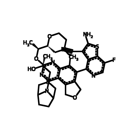 C[C@H](Oc1nc(N2C3CCC2CN(C[C@@H](C)O)C3)c2c3c(c(-c4ncc(F)c5sc(N)c(C#N)c45)c(F)c2n1)COC3)[C@H]1CN(C)CCO1